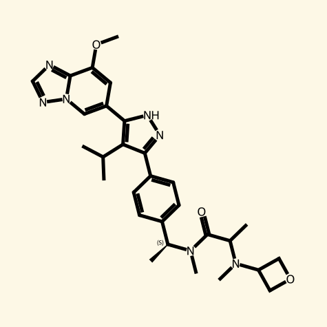 COc1cc(-c2[nH]nc(-c3ccc([C@H](C)N(C)C(=O)C(C)N(C)C4COC4)cc3)c2C(C)C)cn2ncnc12